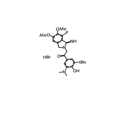 Br.COc1cc2c(c(F)c1OC)C(=N)N(CC(=O)c1cc(N(C)C)c(O)c(C(C)(C)C)c1)C2